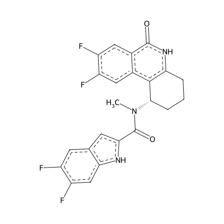 CN(C(=O)c1cc2cc(F)c(F)cc2[nH]1)[C@H]1CCCc2[nH]c(=O)c3cc(F)c(F)cc3c21